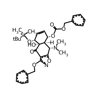 CN(C)[C@@H]1c2onc(OCc3ccccc3)c2C(=O)[C@]2(O)[C@H]1[C@@H](OC(=O)OCc1ccccc1)C=C[C@H]2O[Si](C)(C)C(C)(C)C